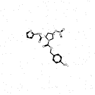 O=C(Nc1ccco1)[C@@H]1C[C@@H](O[SH](=O)=O)CN1C(=O)OCc1ccc([N+](=O)[O-])cc1